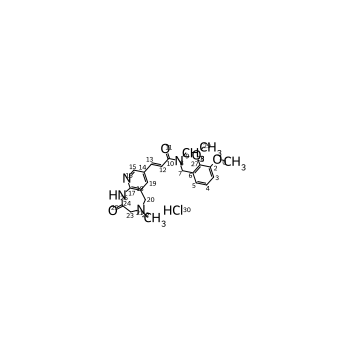 COc1cccc(CN(C)C(=O)C=Cc2cnc3c(c2)CN(C)CC(=O)N3)c1OC.Cl